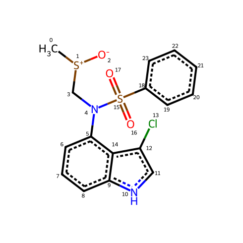 C[S+]([O-])CN(c1cccc2[nH]cc(Cl)c12)S(=O)(=O)c1ccccc1